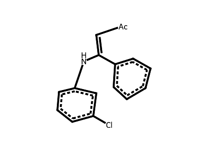 CC(=O)/C=C(/Nc1cccc(Cl)c1)c1ccccc1